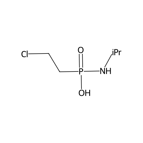 CC(C)NP(=O)(O)CCCl